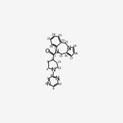 O=C(C1CCN(c2cnccn2)CC1)N1Cc2cccn2Cc2ccccc21